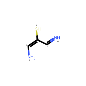 N=C/C(S)=C\N